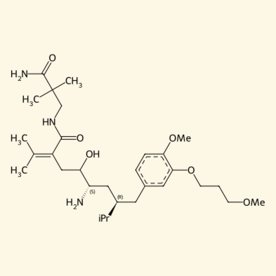 COCCCOc1cc(C[C@H](C[C@H](N)C(O)CC(C(=O)NCC(C)(C)C(N)=O)=C(C)C)C(C)C)ccc1OC